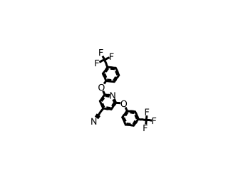 N#Cc1cc(Oc2cccc(C(F)(F)F)c2)nc(Oc2cccc(C(F)(F)F)c2)c1